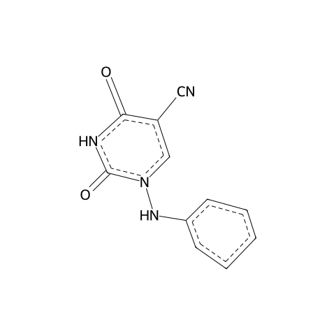 N#Cc1cn(Nc2ccccc2)c(=O)[nH]c1=O